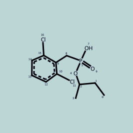 CCC(C)OP(=O)(O)Cc1c(Cl)cccc1Cl